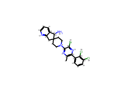 Cc1nc(N2CCC3(CC2)Cc2ncccc2[C@H]3N)c(Br)nc1-c1cccc(Cl)c1Cl